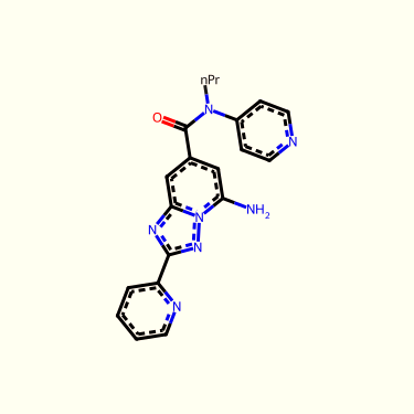 CCCN(C(=O)c1cc(N)n2nc(-c3ccccn3)nc2c1)c1ccncc1